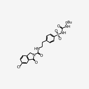 CCCCNC(=O)NS(=O)(=O)c1ccc(CCNC(=O)N2Cc3ccc(Cl)cc3C2=O)cc1